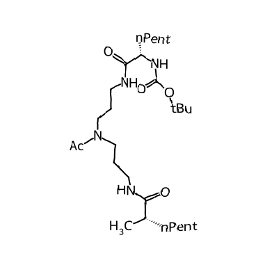 CCCCC[C@H](NC(=O)OC(C)(C)C)C(=O)NCCCN(CCCNC(=O)[C@@H](C)CCCCC)C(C)=O